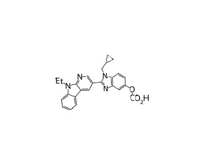 CCn1c2ccccc2c2cc(-c3nc4cc(OC(=O)O)ccc4n3CC3CC3)cnc21